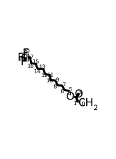 C=CC(=O)OCCCCCCCCCCCCC[Si](F)(F)F